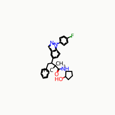 CC(C)(C(=O)NC1CCCC1O)C(Cc1ccccc1)c1ccc2c(cnn2-c2ccc(F)cc2)c1